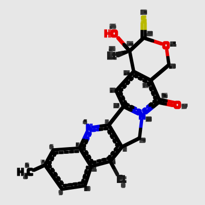 CCc1c2c(nc3cc(C)ccc13)-c1cc3c(c(=O)n1C2)COC(=S)[C@]3(O)CC